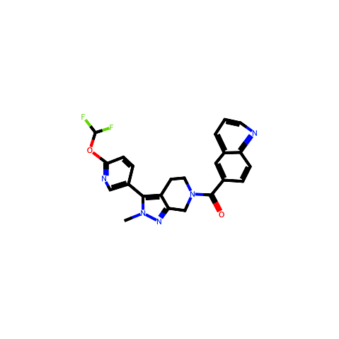 Cn1nc2c(c1-c1ccc(OC(F)F)nc1)CCN(C(=O)c1ccc3ncccc3c1)C2